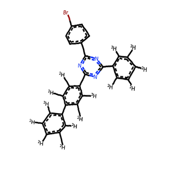 [2H]c1c([2H])c([2H])c(-c2nc(-c3ccc(Br)cc3)nc(-c3c([2H])c([2H])c(-c4c([2H])c([2H])c([2H])c([2H])c4[2H])c([2H])c3[2H])n2)c([2H])c1[2H]